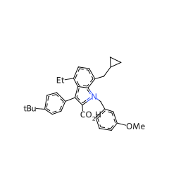 CCc1ccc(CC2CC2)c2c1c(-c1ccc(C(C)(C)C)cc1)c(C(=O)O)n2Cc1cccc(OC)c1